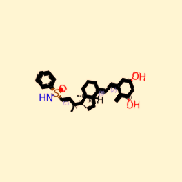 C=C1/C(=C\C=C2/CCC[C@]3(C)[C@@H]([C@@H](C)/C=C/S(=N)(=O)c4ccccc4)CC[C@@H]23)C[C@@H](O)C[C@@H]1O